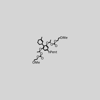 CCCCCc1cc(OC(C)OC(=O)OCCOC)c(C2C=C(C)CCC2)c(OC(C)OC(=O)OCCOC)c1